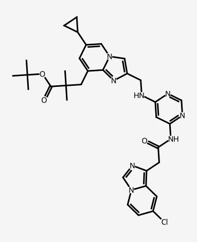 CC(C)(C)OC(=O)C(C)(C)Cc1cc(C2CC2)cn2cc(CNc3cc(NC(=O)Cc4ncn5ccc(Cl)cc45)ncn3)nc12